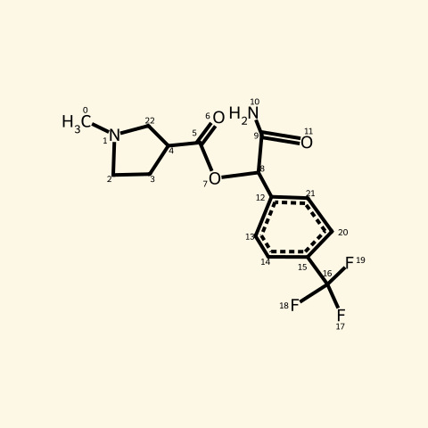 CN1CCC(C(=O)OC(C(N)=O)c2ccc(C(F)(F)F)cc2)C1